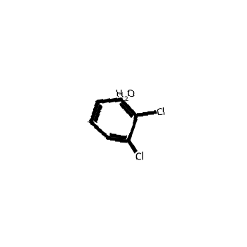 Clc1c[c]ccc1Cl.O